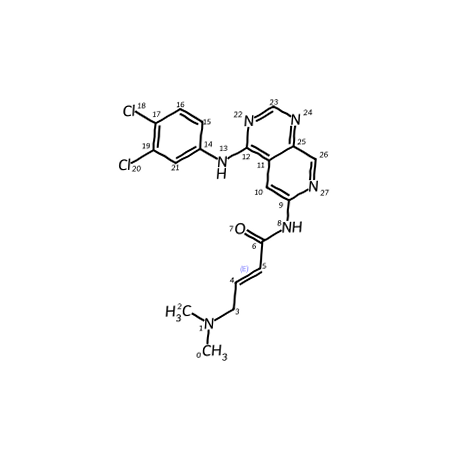 CN(C)C/C=C/C(=O)Nc1cc2c(Nc3ccc(Cl)c(Cl)c3)ncnc2cn1